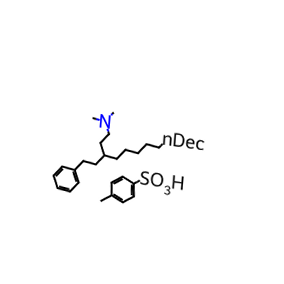 CCCCCCCCCCCCCCCC(CCc1ccccc1)CCN(C)C.Cc1ccc(S(=O)(=O)O)cc1